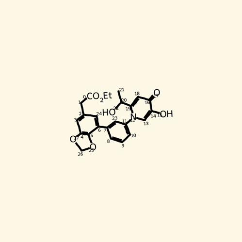 CCOC(=O)Cc1cc2c(c(-c3cccc(-n4cc(O)c(=O)cc4C(C)O)c3)c1)OCO2